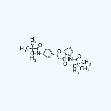 CC(C)(C)C(=O)Nc1ccc(-c2cc(=O)c3c(NC(=O)C(C)(C)C)cccc3o2)cc1